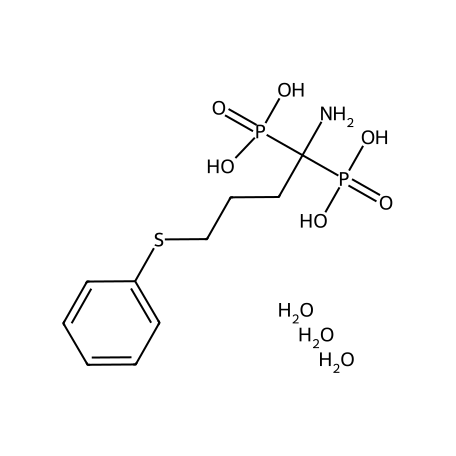 NC(CCCSc1ccccc1)(P(=O)(O)O)P(=O)(O)O.O.O.O